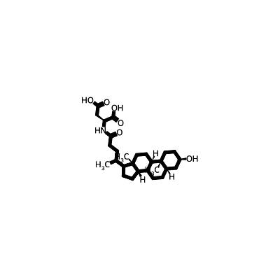 CC(CCC(=O)N[C@@H](CC(=O)O)C(=O)O)C1CC[C@H]2C3CC[C@@H]4C[C@H](O)CC[C@]4(C)[C@@H]3CC[C@]12C